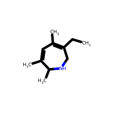 CCC1=C(C)C=C(C)C(C)NC1